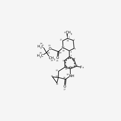 C[C@H]1CCC(c2cc(F)c3c(c2)CC2(CC2)C(=O)N3)N(C(=O)OC(C)(C)C)C1